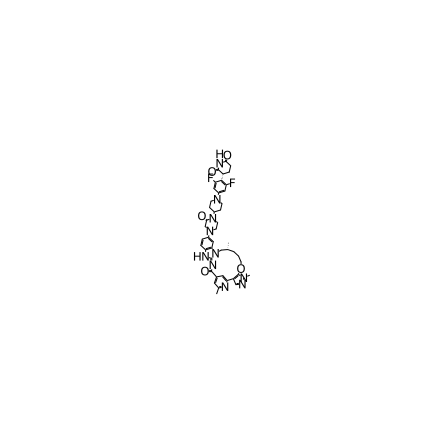 Cc1cc2cc(n1)-c1cnn(C)c1OCCC[C@@H](C)CN1/C(=N/C2=O)Nc2ccc(N3CCN(C4CCN(c5cc(F)c([C@H]6CCC(=O)NC6=O)c(F)c5)CC4)C(=O)C3)cc21